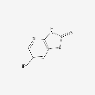 CC(C)c1cnc2[nH]c(=S)sc2c1